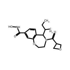 CCC(C)C1c2ccc(C(=O)NO)cc2OCCN1C(=O)C1COC1